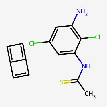 CC(=S)Nc1cc(Cl)cc(N)c1Cl.c1cc2ccc1-2